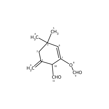 C=C1CC(C)(C)C=C(OC=O)C1C=O